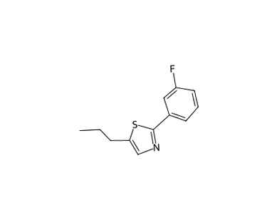 CCCc1cnc(-c2cccc(F)c2)s1